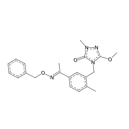 COc1nn(C)c(=O)n1Cc1cc(C(C)=NOCc2ccccc2)ccc1C